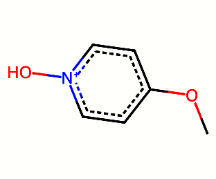 COc1cc[n+](O)cc1